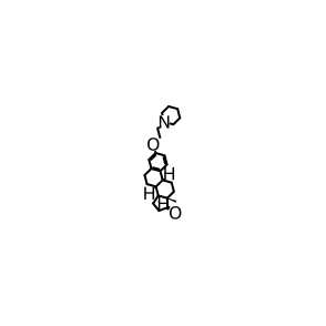 C[C@]12CC[C@@H]3c4ccc(OCCN5CCCCC5)cc4CC[C@H]3[C@@H]1CCC2=O